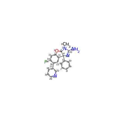 CN1C(=O)C(c2ccccc2)(c2ccc(F)c(-c3cccnc3)c2)N=C1N